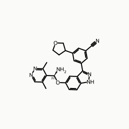 Cc1cnnc(C)c1[C@@H](N)Oc1ccc2[nH]nc(-c3cc(C#N)cc(C4CCOC4)c3)c2c1